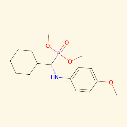 COc1ccc(N[C@H](C2CCCCC2)P(=O)(OC)OC)cc1